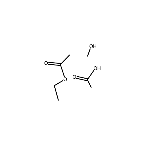 CC(=O)O.CCOC(C)=O.CO